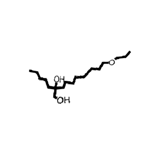 CCCCCC(O)(CO)CCCCCCCCOCCC